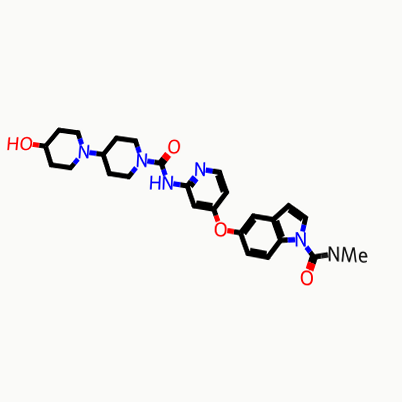 CNC(=O)n1ccc2cc(Oc3ccnc(NC(=O)N4CCC(N5CCC(O)CC5)CC4)c3)ccc21